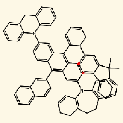 CC1(C)c2ccccc2-c2ccc(C3CC=CC=C3c3c4cc(N5c6ccccc6Cc6ccccc65)ccc4c(-c4ccc5ccccc5c4)c4cc(N5C6=C(CCC=C6)CCC6=C5C=CCC6)ccc34)cc21